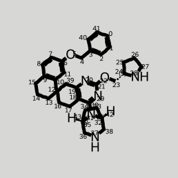 c1ccc(COc2ccc3c(c2)C2(CCC3)CCc3c(nc(OC[C@@H]4CCCN4)nc3N3[C@@H]4CC[C@H]3CNC4)C2)cc1